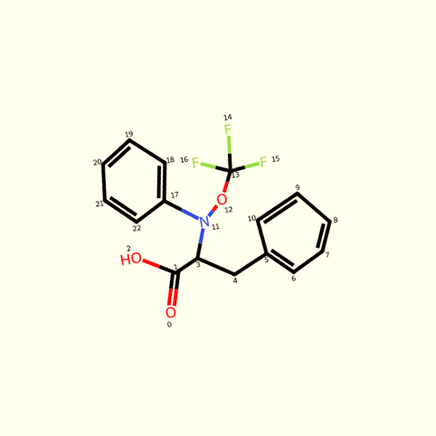 O=C(O)C(Cc1ccccc1)N(OC(F)(F)F)c1ccccc1